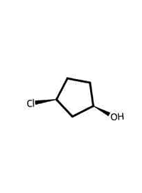 O[C@@H]1CC[C@H](Cl)C1